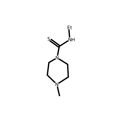 CCNC(=S)N1CCN(C)CC1